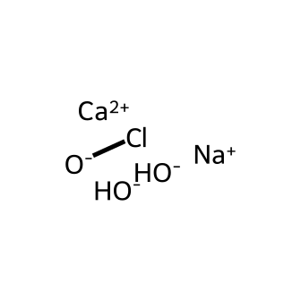 [Ca+2].[Na+].[O-]Cl.[OH-].[OH-]